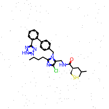 CCCCc1nc(Cl)c(CNC(=O)[C@H](CS)CC(C)C)n1Cc1ccc(-c2ccccc2-c2nn[nH]n2)cc1